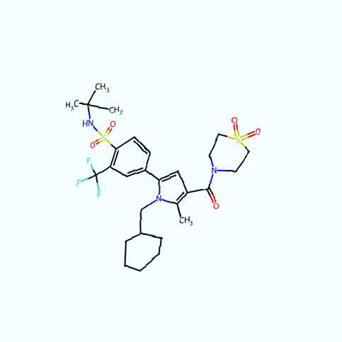 Cc1c(C(=O)N2CCS(=O)(=O)CC2)cc(-c2ccc(S(=O)(=O)NC(C)(C)C)c(C(F)(F)F)c2)n1CC1CCCCC1